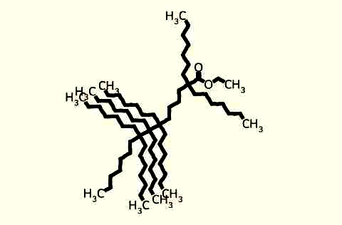 CCCCCCCC(CCCCCCC)(CCCCC(CCCCCCC)(CCCCCCC)C(CCCCCCC)(CCCCCCC)C(CCCCCCC)(CCCCCCC)CCCCCCC)C(=O)OCC